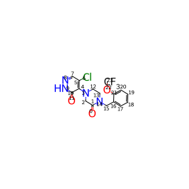 O=C1CN(c2c(Cl)cn[nH]c2=O)CCN1Cc1ccccc1OC(F)(F)F